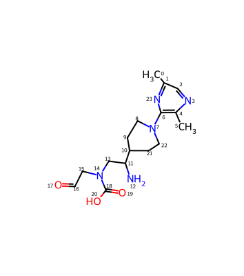 Cc1cnc(C)c(N2CCC(C(N)CN(CC=O)C(=O)O)CC2)n1